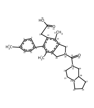 Cc1ccc(-c2c(C)c3c(c(C)c2CC(=O)O)CN(C(=O)N2CCN4CCCC4C2)C3)cc1